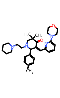 Cc1ccc(C2/C(=C/c3cccc(N4CCOCC4)n3)C(=O)C(C)(C)CN2CCN2CCCCC2)cc1